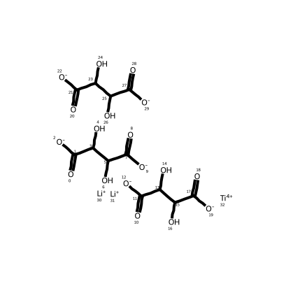 O=C([O-])C(O)C(O)C(=O)[O-].O=C([O-])C(O)C(O)C(=O)[O-].O=C([O-])C(O)C(O)C(=O)[O-].[Li+].[Li+].[Ti+4]